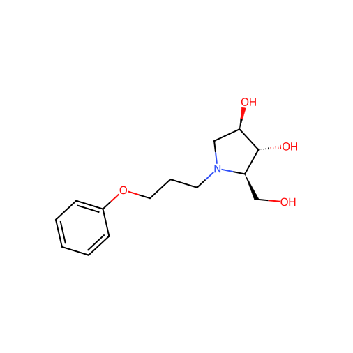 OC[C@@H]1[C@@H](O)[C@H](O)CN1CCCOc1ccccc1